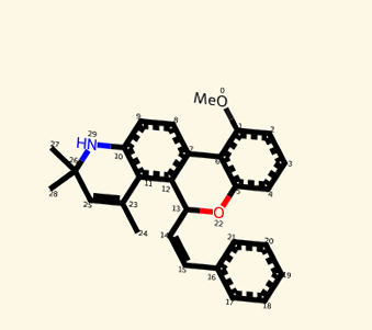 COc1cccc2c1-c1ccc3c(c1C(/C=C\c1ccccc1)O2)C(C)=CC(C)(C)N3